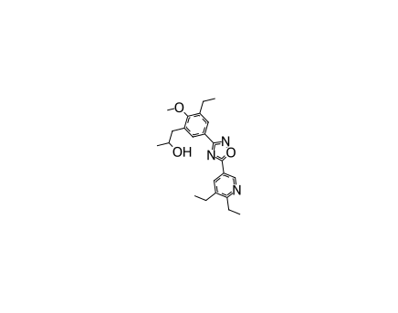 CCc1cc(-c2nc(-c3cc(CC)c(OC)c(CC(C)O)c3)no2)cnc1CC